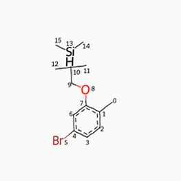 Cc1ccc(Br)cc1OCC(C)(C)[SiH](C)C